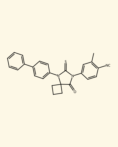 [C-]#[N+]c1ccc(N2C(=O)C3(CCC3)N(c3ccc(-c4ccccc4)cc3)C2=S)cc1C